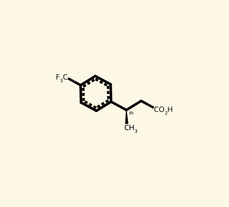 C[C@H](CC(=O)O)c1ccc(C(F)(F)F)cc1